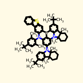 Cc1cc(C(C)(C)C)cc(C)c1N1c2cc3c(cc2B2c4cc(C(C)(C)C)cc5c4N(c4cc(N6c7ccc(C(C)(C)C)cc7C7(C)CCCCC67C)cc1c42)C1(C)CCCCC51C)sc1ccccc13